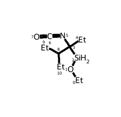 CCO[SiH2]C(CC)(N=C=O)C(CC)CC